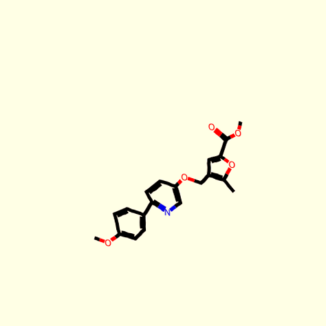 COC(=O)c1cc(COc2ccc(-c3ccc(OC)cc3)nc2)c(C)o1